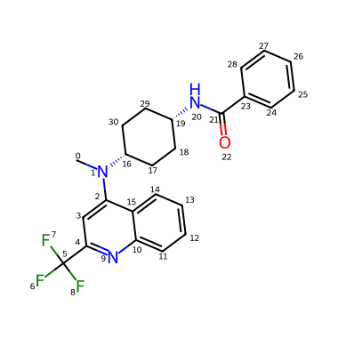 CN(c1cc(C(F)(F)F)nc2ccccc12)[C@H]1CC[C@@H](NC(=O)c2ccccc2)CC1